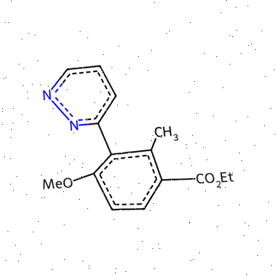 CCOC(=O)c1ccc(OC)c(-c2cccnn2)c1C